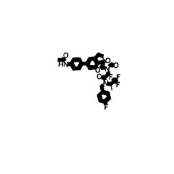 CC(=O)Nc1ccc(-c2ccc3c(c2)CC[C@@]32OC(=O)N(CC(=O)N(Cc3ccc(F)cc3)[C@@H](C)C(F)(F)F)C2=O)cc1